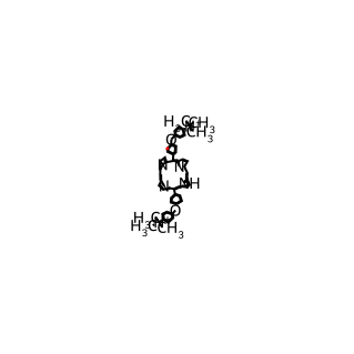 C[N+](C)(C)c1ccc(Oc2ccc(/C3=C4\C=CC(=N4)/C=c4/cc/c([nH]4)=C(\c4ccc(Oc5ccc([N+](C)(C)C)cc5)cc4)C4=N/C(=C\C5C6C=C3N65)C=C4)cc2)cc1